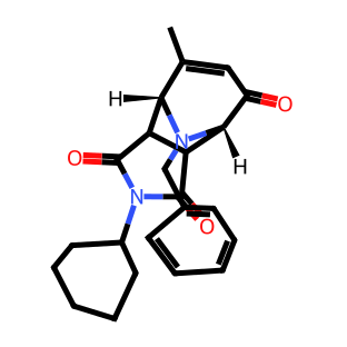 CC1=CC(=O)[C@@H]2C3C(=O)N(C4CCCCC4)C(=O)C3[C@H]1N2Cc1ccccc1